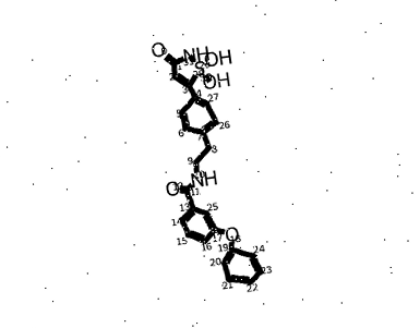 O=C1C=C(c2ccc(CCNC(=O)c3cccc(Oc4ccccc4)c3)cc2)S(O)(O)N1